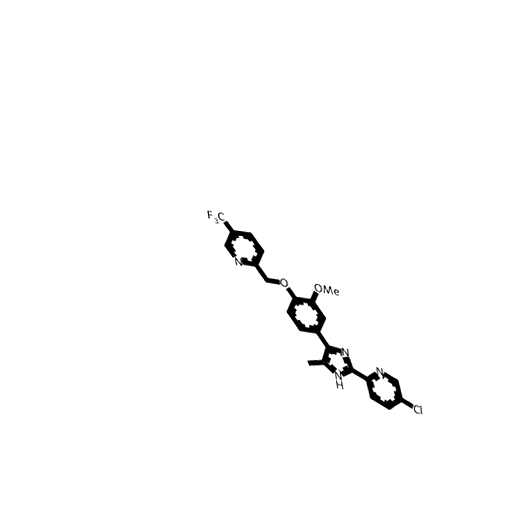 COc1cc(-c2nc(-c3ccc(Cl)cn3)[nH]c2C)ccc1OCc1ccc(C(F)(F)F)cn1